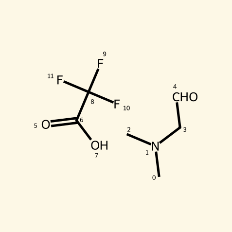 CN(C)CC=O.O=C(O)C(F)(F)F